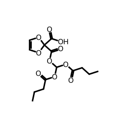 CCCC(=O)OC(OC(=O)CCC)OC(=O)C1(C(=O)O)OC=CO1